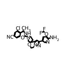 C[C@@H](NC(=O)N1CCC2(C1)OCCn1nc(-c3cnc(N)c(OC(F)F)c3)cc12)c1ccc(C#N)cc1Cl